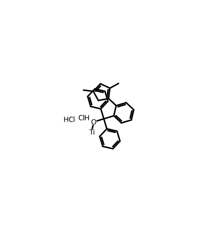 CC1=CC(C)=C(c2ccccc2C([O][Ti])(c2ccccc2)c2ccccc2)C1.Cl.Cl